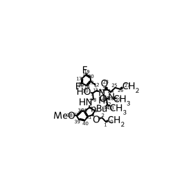 C=CCO[C@@H]1C[C@H](NC[C@@H](O)[C@H](Cc2cc(F)cc(F)c2)NC(=O)C(CC=C)N(C)C(=O)C(C)CCCC)c2cc(OC)ccc21